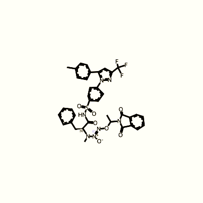 Cc1ccc(-c2cc(C(F)(F)F)nn2-c2ccc(S(=O)(=O)NC(=O)[C@H](Cc3ccccc3)N(C)/[N+]([O-])=N/OC(C)N3C(=O)c4ccccc4C3=O)cc2)cc1